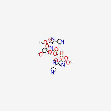 CCOC(=O)CN(Cc1ccc(OC)cc1OC)Cc1c(-c2ccncc2)noc1C(=O)OCC.CCOC(=O)c1ncc2c(-c3ccncc3)noc2c1O